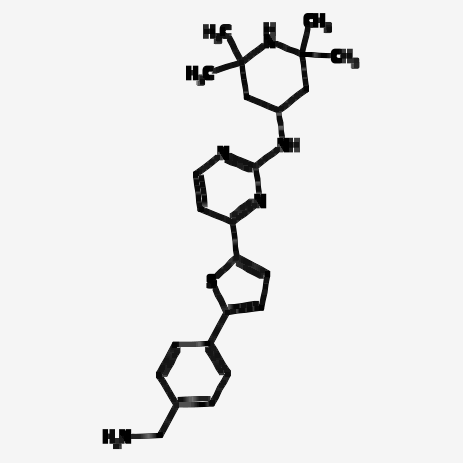 CC1(C)CC(Nc2nccc(-c3ccc(-c4ccc(CN)cc4)s3)n2)CC(C)(C)N1